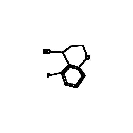 OC1CCOc2cccc(F)c21